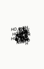 CC(=O)O.CCNC(=O)[C@@H]1CCCN1C(=O)[C@H](CCCNC(=N)N)NC(=O)[C@H](CC(C)C)NC(=O)[C@@H](CC(C)C)NC(=O)[C@H](Cc1ccc(O)cc1)NC(=O)[C@H](CO)NC(=O)[C@H](Cc1c[nH]c2ccccc12)NC(=O)[C@H](Cc1cnc[nH]1)NC(=O)[C@@H]1CCC(=O)N1.CNC[C@H](O)c1ccc(O)c(O)c1